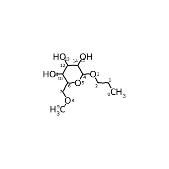 CCCOC1OC(COC)C(O)C(O)C1O